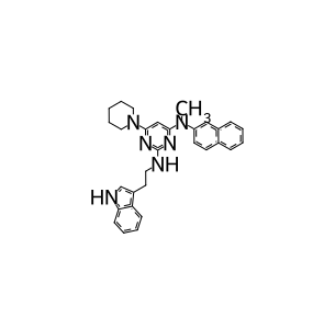 CN(c1ccc2ccccc2c1)c1cc(N2CCCCC2)nc(NCCc2c[nH]c3ccccc23)n1